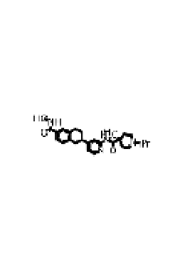 CC(C)N1CCC(C)(C(=O)Nc2cc(C3CCc4cc(C(=O)NO)ccc4C3)ccn2)CC1